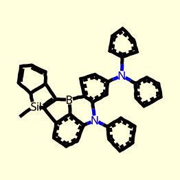 C[SiH]1C2=C(B3c4ccc(N(c5ccccc5)c5ccccc5)cc4N(c4ccccc4)c4cccc2c43)C2C=CC=CC21